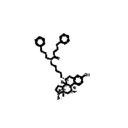 C[C@]12C[C@H](F)[C@@H]3c4ccc(O)cc4C[C@@H](CCCCCN(CCCc4ccccc4)C(=O)CCCc4ccccc4)[C@H]3[C@@H]1CC[C@@H]2O